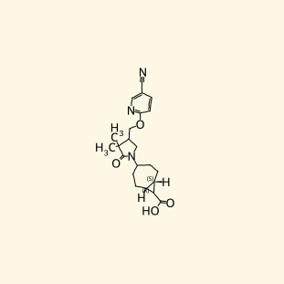 CC1(C)C(=O)N(C2CC[C@@H]3C(C(=O)O)[C@@H]3CC2)CC1COc1ccc(C#N)cn1